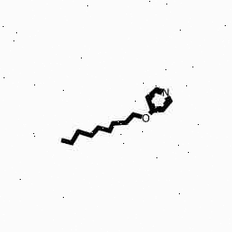 CCCCCCCCCOc1ccncc1